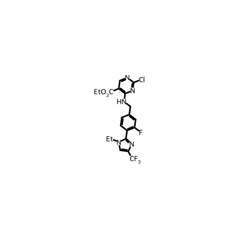 CCOC(=O)c1cnc(Cl)nc1NCc1ccc(-c2nc(C(F)(F)F)cn2CC)c(F)c1